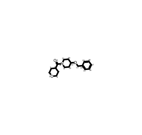 O=C(C1CCOCC1)N1CCC(OCc2ccccc2)CC1